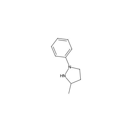 CC1CCN(c2ccccc2)N1